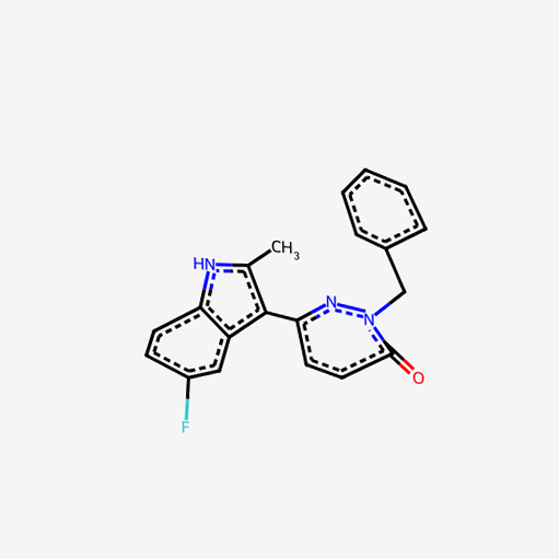 Cc1[nH]c2ccc(F)cc2c1-c1ccc(=O)n(Cc2ccccc2)n1